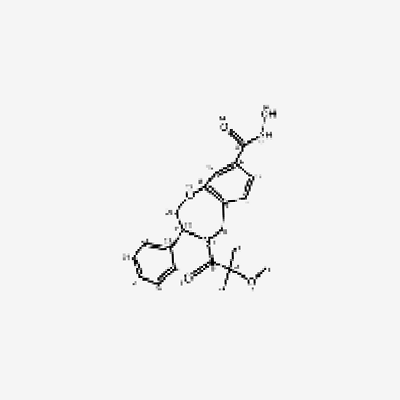 COC(C)(C)C(=O)N1Cc2ccc(C(=O)NO)cc2OC[C@@H]1c1ccccc1